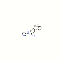 N#Cc1ccccc1-c1ccc2nc(-c3cccnc3)nc(N)c2c1